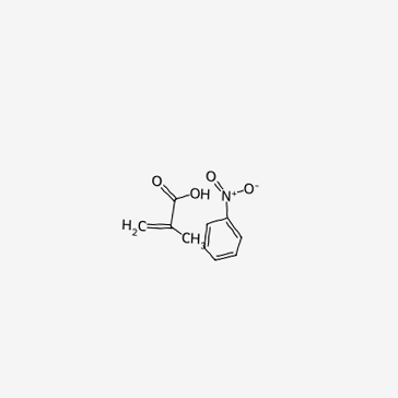 C=C(C)C(=O)O.O=[N+]([O-])c1ccccc1